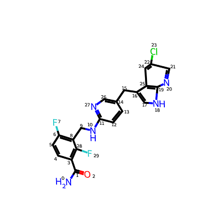 NC(=O)c1ccc(F)c(CNc2ccc(Cc3c[nH]c4ncc(Cl)cc34)cn2)c1F